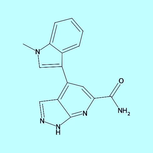 Cn1cc(-c2cc(C(N)=O)nc3[nH]ncc23)c2ccccc21